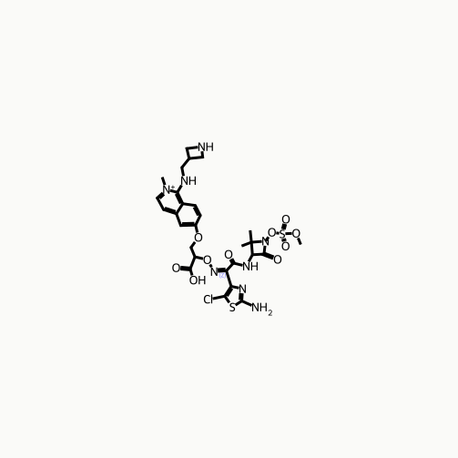 COS(=O)(=O)ON1C(=O)C(NC(=O)/C(=N\OC(COc2ccc3c(NCC4CNC4)[n+](C)ccc3c2)C(=O)O)c2nc(N)sc2Cl)C1(C)C